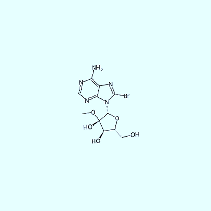 CO[C@@]1(O)[C@H](O)[C@@H](CO)O[C@H]1n1c(Br)nc2c(N)ncnc21